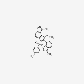 CCc1c(-c2cccc3c2ccn3C)n(S(=O)(=O)c2ccc(C)cc2)c2ncc3cnn(C)c3c12